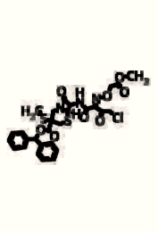 COC(=O)CON=C(C(=O)CCl)C(=O)NC1C(=O)N2CC(SC)(C(=O)OC(c3ccccc3)c3ccccc3)CS[C@H]12